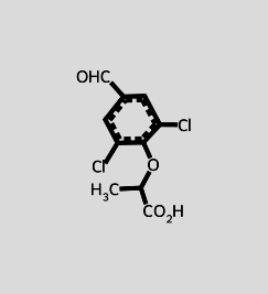 CC(Oc1c(Cl)cc(C=O)cc1Cl)C(=O)O